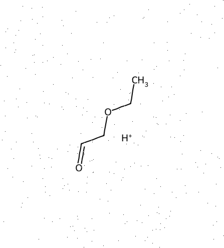 CCOCC=O.[H+]